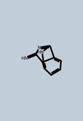 N=C1N=c2[nH]c3cccc2c31